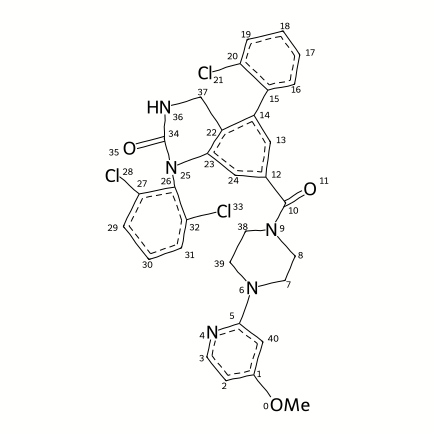 COc1ccnc(N2CCN(C(=O)c3cc(-c4ccccc4Cl)c4c(c3)N(c3c(Cl)cccc3Cl)C(=O)NC4)CC2)c1